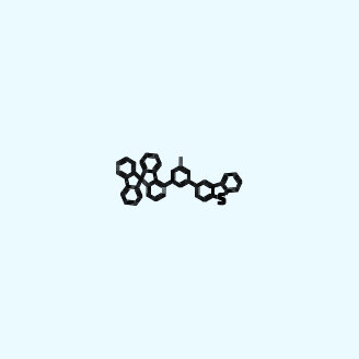 Cc1cc(-c2ccc3sc4ccccc4c3c2)cc(-c2cccc3c2-c2ccccc2C32c3ccccc3-c3ccccc32)c1